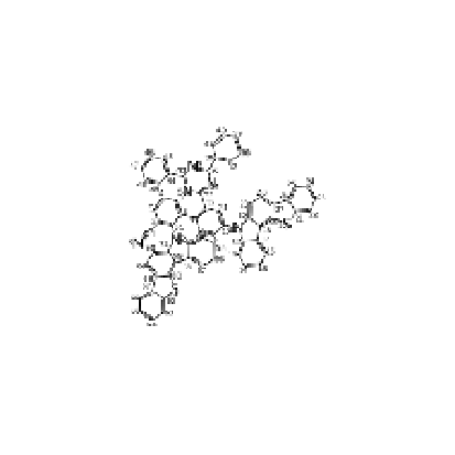 N#Cc1cccc(-c2ccc(-n3c4ccccc4c4c5sc6ccccc6c5ccc43)cc2-c2nc(-c3ccccc3)nc(-c3ccccc3)n2)c1-n1c2ccccc2c2c3sc4ccccc4c3ccc21